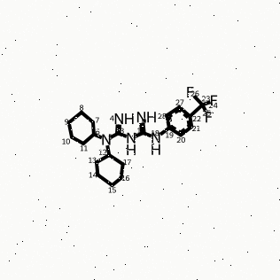 N=C(NC(=N)N(C1CCCCC1)C1CCCCC1)Nc1ccc(C(F)(F)F)cc1